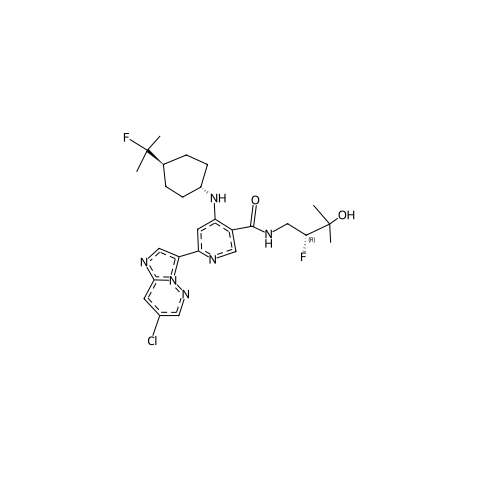 CC(C)(O)[C@H](F)CNC(=O)c1cnc(-c2cnc3cc(Cl)cnn23)cc1N[C@H]1CC[C@H](C(C)(C)F)CC1